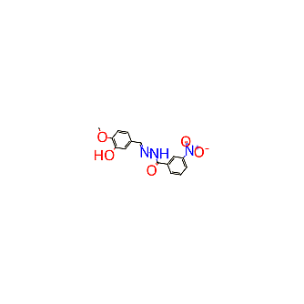 COc1ccc(C=NNC(=O)c2cccc([N+](=O)[O-])c2)cc1O